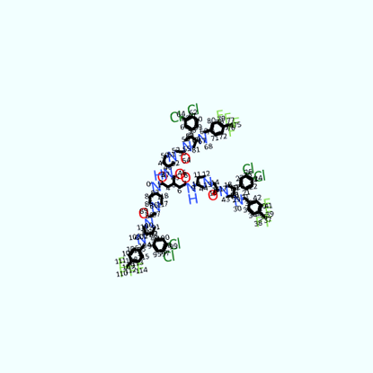 CN(C(=O)CC(CC(=O)NC1CCN(CC(=O)N2C[C@H](c3ccc(Cl)c(Cl)c3)[C@H](N(C)Cc3ccc(C(F)(F)F)c(F)c3)C2)C1)C(=O)NC1CCN(CC(=O)N2C[C@H](c3ccc(Cl)c(Cl)c3)[C@H](N(C)Cc3ccc(C(F)(F)F)c(F)c3)C2)C1)C1CCN(CC(=O)N2C[C@H](c3ccc(Cl)c(Cl)c3)[C@H](N(C)Cc3ccc(C(F)(F)F)c(F)c3)C2)CC1